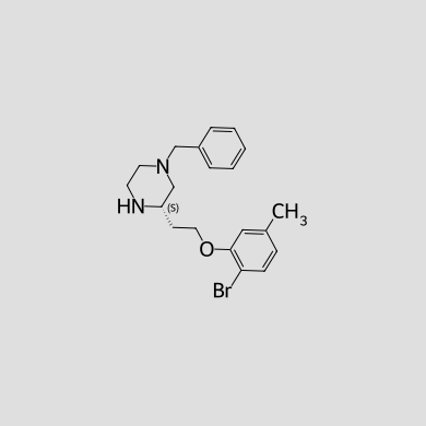 Cc1ccc(Br)c(OCC[C@H]2CN(Cc3ccccc3)CCN2)c1